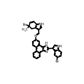 CC1(Br)C=Cc2[nH]cc(C=Nc3ccc4c5ccccc5c5nc(-c6c[nH]c7ccc(Br)cc67)[nH]c5c4c3)c2C1